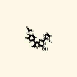 Cc1sc2c(O)nc(-c3nccn3C)nc2c1-c1ccc(OC(C)C)c(F)c1